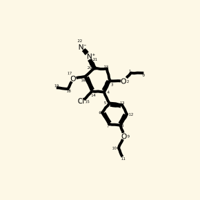 CCOC1=C(c2ccc(OCC)cc2)C(Cl)=C(OCC)C(=[N+]=[N-])C1